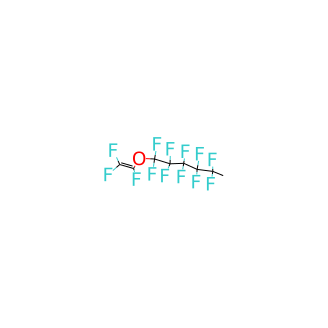 CC(F)(F)C(F)(F)C(F)(F)C(F)(F)C(F)(F)OC(F)=C(F)F